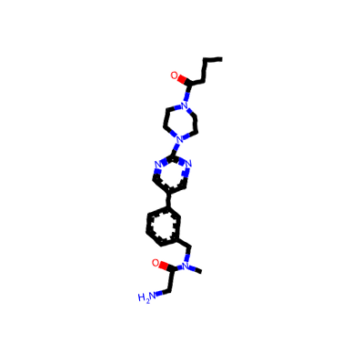 CCCC(=O)N1CCN(c2ncc(-c3cccc(CN(C)C(=O)CN)c3)cn2)CC1